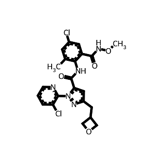 CONC(=O)c1cc(Cl)cc(C)c1NC(=O)c1cc(CC2COC2)nn1-c1ncccc1Cl